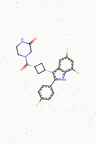 O=C1CN(C(=O)[C@H]2C[C@@H](c3c(-c4ccc(F)cc4)[nH]c4c(F)cc(F)cc43)C2)CCN1